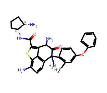 Cc1cc(Oc2ccccc2)ccc1C1(N)C(=O)C(N)c2c(C(=O)N[C@@H]3CCC[C@@H]3N)sc3c(N)ccc1c23